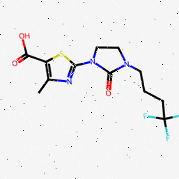 Cc1nc(N2CCN(CCCC(F)(F)F)C2=O)sc1C(=O)O